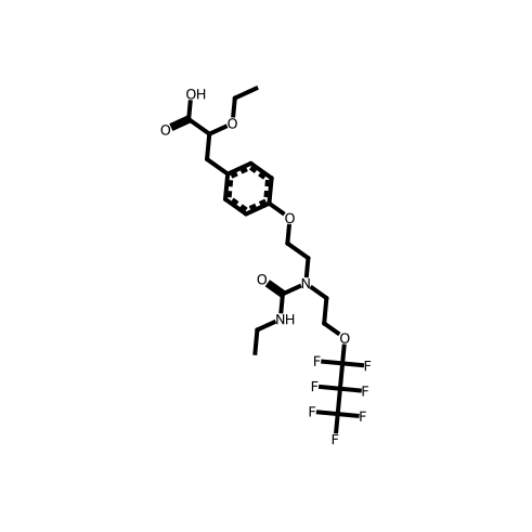 CCNC(=O)N(CCOc1ccc(CC(OCC)C(=O)O)cc1)CCOC(F)(F)C(F)(F)C(F)(F)F